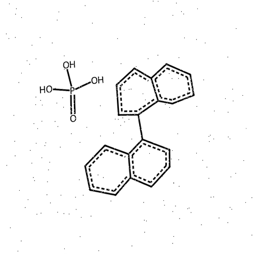 O=P(O)(O)O.c1ccc2c(-c3cccc4ccccc34)cccc2c1